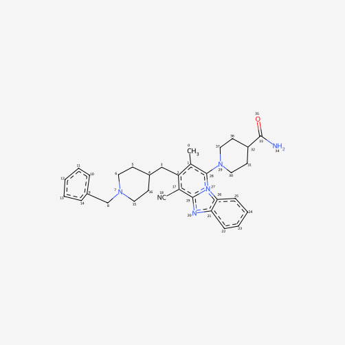 Cc1c(CC2CCN(Cc3ccccc3)CC2)c(C#N)c2nc3ccccc3n2c1N1CCC(C(N)=O)CC1